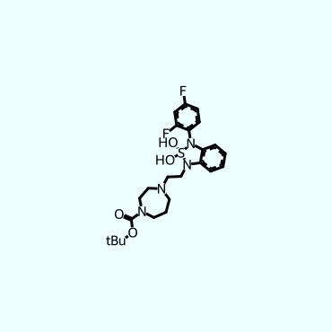 CC(C)(C)OC(=O)N1CCCN(CCN2c3ccccc3N(c3ccc(F)cc3F)S2(O)O)CC1